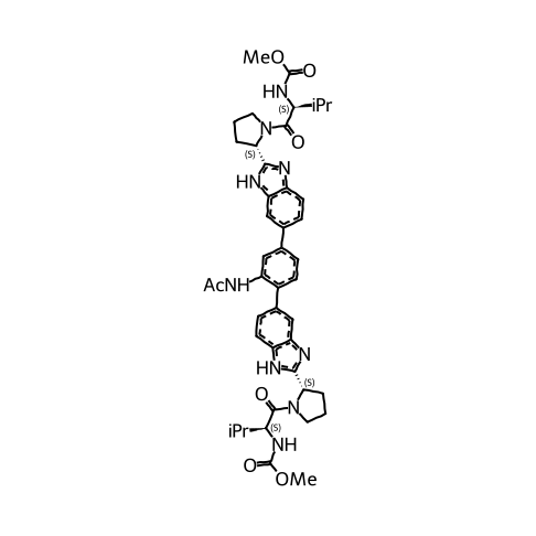 COC(=O)N[C@H](C(=O)N1CCC[C@H]1c1nc2cc(-c3ccc(-c4ccc5nc([C@@H]6CCCN6C(=O)[C@@H](NC(=O)OC)C(C)C)[nH]c5c4)cc3NC(C)=O)ccc2[nH]1)C(C)C